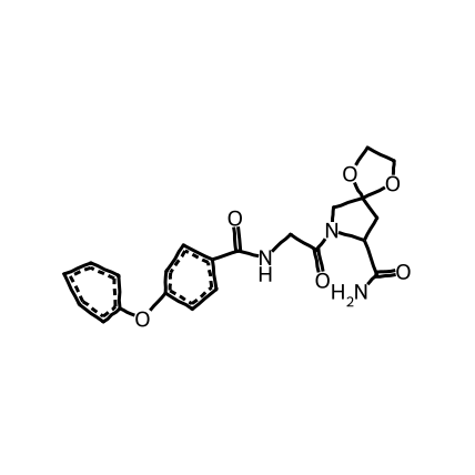 NC(=O)C1CC2(CN1C(=O)CNC(=O)c1ccc(Oc3ccccc3)cc1)OCCO2